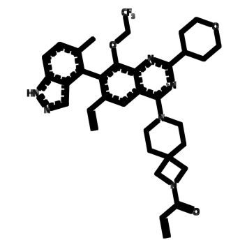 C=CC(=O)N1CC2(CCN(c3nc(C4CCOCC4)nc4c(OCC(F)(F)F)c(-c5c(C)ccc6[nH]ncc56)c(C=C)cc34)CC2)C1